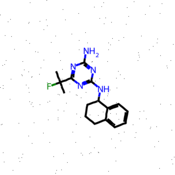 CC(C)(F)c1nc(N)nc(NC2CCCc3ccccc32)n1